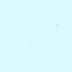 CC(=CC1=C(C(=O)OC(c2ccccc2)c2ccccc2)N2C(=O)C(N)C2[S+]([O-])C1)Sc1nnc(C)s1